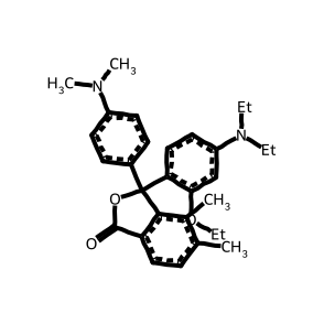 CCOc1cc(N(CC)CC)ccc1C1(c2ccc(N(C)C)cc2)OC(=O)c2ccc(C)c(C)c21